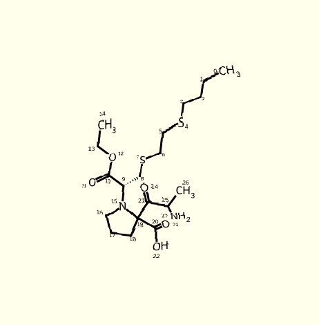 CCCCSCCSC[C@@H](C(=O)OCC)N1CCCC1(C(=O)O)C(=O)C(C)N